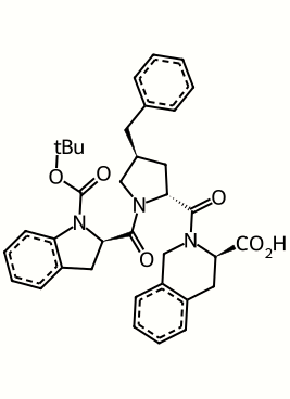 CC(C)(C)OC(=O)N1c2ccccc2C[C@@H]1C(=O)N1C[C@@H](Cc2ccccc2)C[C@@H]1C(=O)N1Cc2ccccc2C[C@@H]1C(=O)O